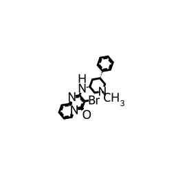 CN1C[C@H](Nc2nc3ccccn3c(=O)c2Br)C[C@H](c2ccccc2)C1